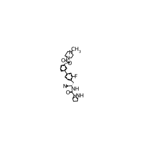 CN1CCN(S(=O)(=O)c2cccc(-c3ccc(C[C@@H](C#N)NC(=O)C4NC5CCC4C5)c(F)c3)c2)CC1